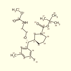 COC(=O)NCCO[C@@H](c1cc(C)cc(F)c1)[C@@H]1CCCN(C(=O)OC(C)(C)C)C1